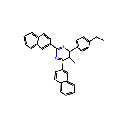 CCc1ccc(C2N=C(c3ccc4ccccc4c3)N=C(c3ccc4ccccc4c3)C2C)cc1